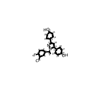 CC(c1ccc(F)c(Cl)c1)n1nc(-c2ccc(O)cc2)cc1-c1ccc(O)cc1